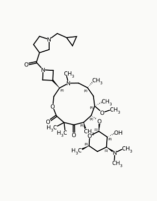 CO[C@]1(C)C[C@@H](C)CN(C)[C@H](C2CN(C(=O)C3CCN(CC4CC4)C3)C2)COC(=O)C(C)(C)C(=O)[C@H](C)[C@H]1O[C@@H]1O[C@H](C)C[C@H](N(C)C)[C@H]1O